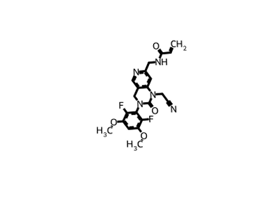 C=CC(=O)NCc1cc2c(cn1)CN(c1c(F)c(OC)cc(OC)c1F)C(=O)N2CC#N